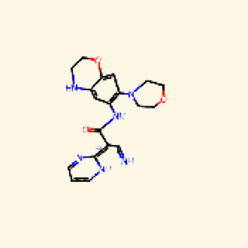 N=C/C(C(=O)Nc1cc2c(cc1N1CCOCC1)OCCN2)=C1/N=CC=CN1